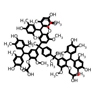 COc1cc(C(C)(C)c2ccc(C(C)(c3cc(OC)c(OCC(=O)O)c(C(c4cc(C)c(O)cc4C)c4cc(C)c(O)cc4C)c3)c3cc(OC)c(OCC(=O)O)c(C(c4cc(C)c(O)cc4C)c4cc(C)c(O)cc4C)c3)cc2)cc(C(c2cc(C)c(O)cc2C)c2cc(C)c(O)cc2C)c1OCC(=O)O